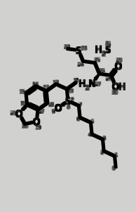 CCCCCCCC[S+]([O-])C(C)Cc1ccc2c(c1)OCO2.CSCC[C@H](N)C(=O)O.S